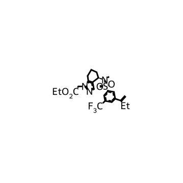 C=C(CC)c1cc(C(F)(F)F)cc(S(=O)(=O)N(C)[C@@H]2CCCc3c2cnn3CC(=O)OCC)c1